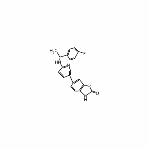 CC(Nc1ccc(-c2ccc3[nH]c(=O)oc3c2)cn1)c1ccc(F)cc1